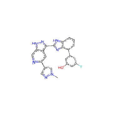 Cn1cc(-c2cc3c(-c4nc5c(-c6cc(O)cc(F)c6)cccc5[nH]4)n[nH]c3cn2)cn1